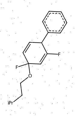 CC(C)CCOC1(F)C=CC(c2ccccc2)C(F)=C1